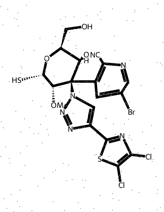 CO[C@@H]1[C@H](S)O[C@@H](CO)[C@@H](O)[C@@]1(c1cc(Br)cnc1C#N)n1cc(-c2nc(Cl)c(Cl)s2)nn1